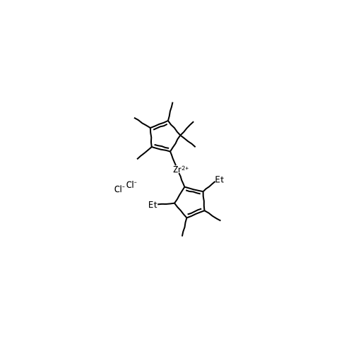 CCC1=[C]([Zr+2][C]2=C(C)C(C)=C(C)C2(C)C)C(CC)C(C)=C1C.[Cl-].[Cl-]